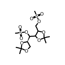 CC1(C)OC(COS(C)(=O)=O)C(C(OS(C)(=O)=O)[C@H]2COC(C)(C)O2)O1